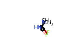 CN(C)CCc1c[nH]c2ccc(COC(F)F)cc12